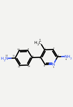 Cc1cc(N)ncc1-c1ccc(N)cc1